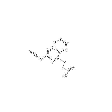 N#CCc1cc(CSC(=N)N)c2ncccc2n1